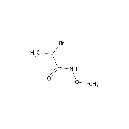 CONC(=O)C(C)Br